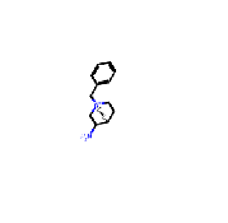 NC1C[N+]2(Cc3ccccc3)CCC1CC2